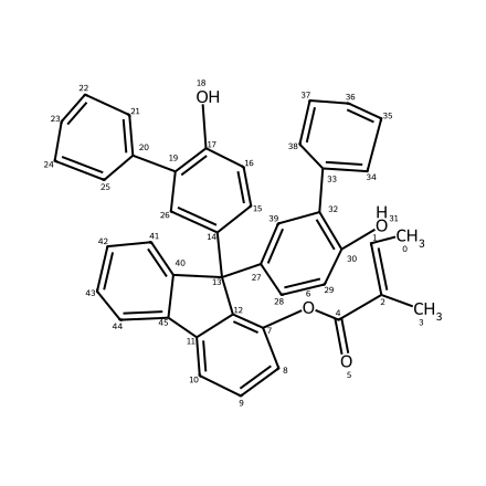 CC=C(C)C(=O)Oc1cccc2c1C(c1ccc(O)c(-c3ccccc3)c1)(c1ccc(O)c(-c3ccccc3)c1)c1ccccc1-2